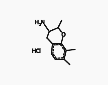 Cc1ccc2c(c1C)OC(C)C(N)C2.Cl